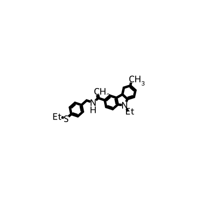 C=C(NCc1ccc(SCC)cc1)c1ccc2c(c1)C1CC(C)=CC=C1N2CC